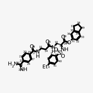 CCc1ccc(S(=O)(=O)N[C@@H](CNC(=O)CCNC(=O)c2ccc(C(=N)N)cc2)C(=O)Oc2ccc3c(c2)CCC3)cc1